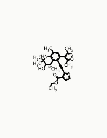 CCOC(=O)c1ccsc1C#Cc1c(-c2c(C)noc2C)cc(C)c2c1[C@H](C)C(O)C(C)(C)N2